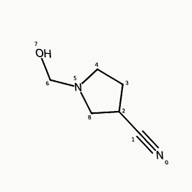 N#CC1CCN(CO)C1